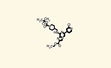 CCOC(=O)c1cn2cc(-c3ccnc(Cl)c3)nc(NCC3CCN(C(=O)OC(C)(C)C)CC3)c2n1